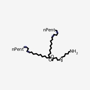 CCCCC/C=C\C/C=C\CCCCCCCCC1(CCCCCCCC/C=C\C/C=C\CCCCC)OCC(CCN(C)CCCCCN)O1